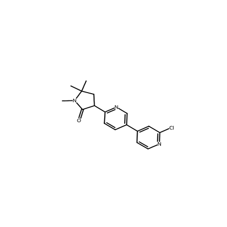 CN1C(=O)C(c2ccc(-c3ccnc(Cl)c3)cn2)CC1(C)C